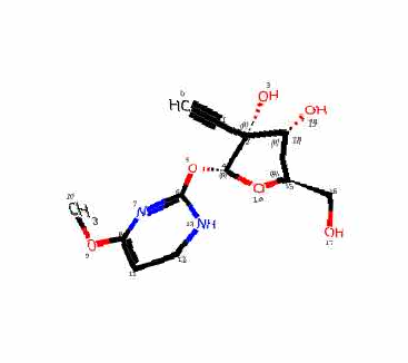 C#C[C@]1(O)[C@@H](OC2=NC(OC)=CCN2)O[C@H](CO)[C@H]1O